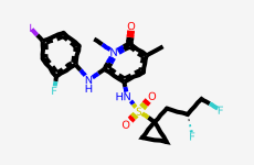 Cc1cc(NS(=O)(=O)C2(C[C@@H](F)CF)CC2)c(Nc2ccc(I)cc2F)n(C)c1=O